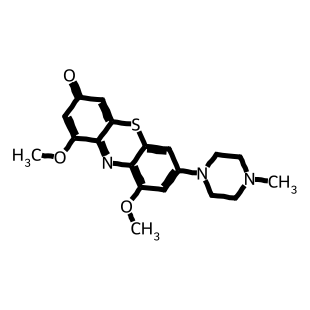 COc1cc(=O)cc2sc3cc(N4CCN(C)CC4)cc(OC)c3nc1-2